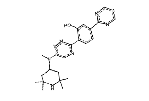 CN(c1cnc(-c2ccc(-c3ncncn3)cc2O)nn1)C1CC(C)(C)NC(C)(C)C1